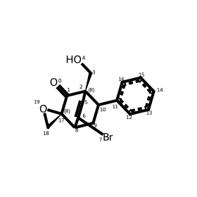 O=C1[C@@]2(CO)C=C(Br)C(CC2c2ccccc2)[C@@]12CO2